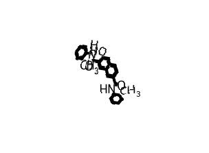 Cc1ccccc1NC(=O)c1ccc2cc(O)c(C(=O)Nc3ccccc3C)cc2c1